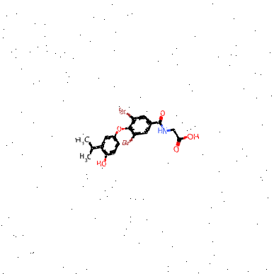 CC(C)c1cc(Oc2c(Br)cc(C(=O)NCC(=O)O)cc2Br)ccc1O